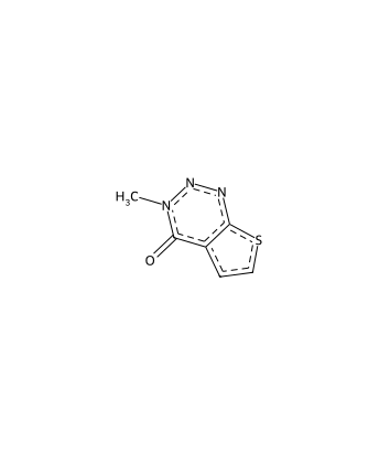 Cn1nnc2sccc2c1=O